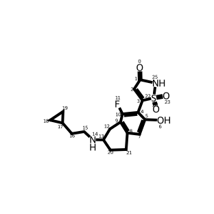 O=C1C=C(c2c(O)cc3c(c2F)CC(NCCC2CC2)CC3)S(=O)(=O)N1